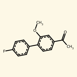 COc1cc(C(C)=O)ccc1-c1ccc(F)cc1